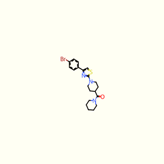 O=C(C1CCN(c2nc(-c3ccc(Br)cc3)cs2)CC1)N1CCCCC1